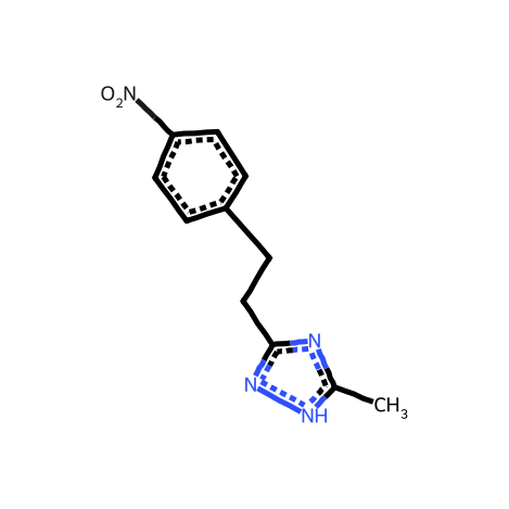 Cc1nc(CCc2ccc([N+](=O)[O-])cc2)n[nH]1